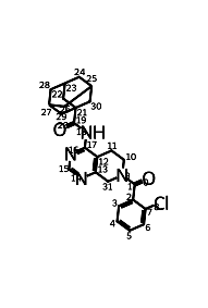 O=C(c1ccccc1Cl)N1CCc2c(ncnc2NC(=O)C23CC4CC(CC(C4)C2)C3)C1